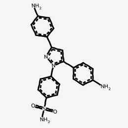 Nc1ccc(-c2cc(-c3ccc(N)cc3)n(-c3ccc(S(N)(=O)=O)cc3)n2)cc1